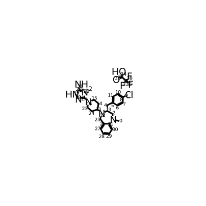 CN1C[C@H](Cc2ccc(Cl)cc2)N(C2CCN(c3n[nH]c(N)n3)CC2)Cc2ccccc21.O=C(O)C(F)(F)F